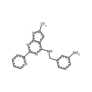 O=[N+]([O-])c1cccc(CNc2nc(-c3ccccn3)nc3sc(C(F)(F)F)cc23)c1